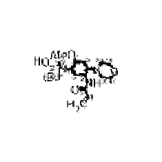 C=CC(=O)Nc1cc(N(C(=O)O)C(C)(C)C)c(OC)cc1N1CCOCC1